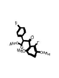 COC(=O)C(C(=O)c1c(OC)ccc(OC)c1F)c1ccc(F)cc1